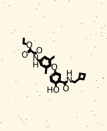 CCOC(=O)C(=O)Nc1cc(C)c(Oc2ccc(O)c(C(=O)NCC3CCC3)c2)c(C)c1